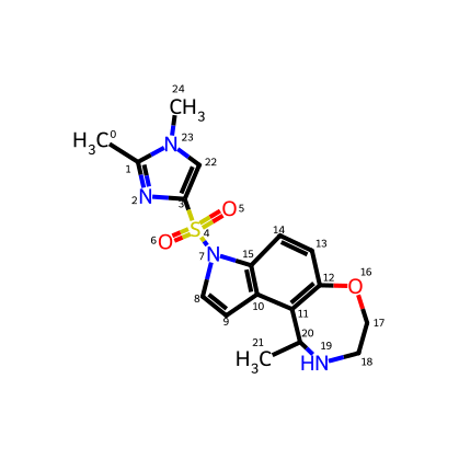 Cc1nc(S(=O)(=O)n2ccc3c4c(ccc32)OCCNC4C)cn1C